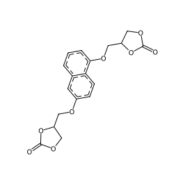 O=C1OCC(COc2ccc3c(OCC4COC(=O)O4)cccc3c2)O1